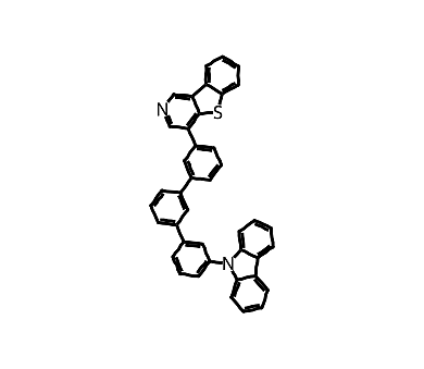 c1cc(-c2cccc(-c3cncc4c3sc3ccccc34)c2)cc(-c2cccc(-n3c4ccccc4c4ccccc43)c2)c1